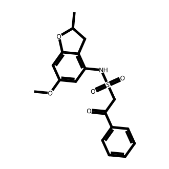 COc1cc(NS(=O)(=O)CC(=O)c2ccccc2)c2c(c1)OC(C)C2